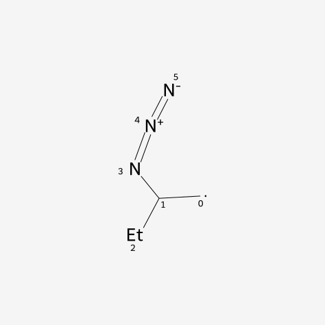 [CH2]C(CC)N=[N+]=[N-]